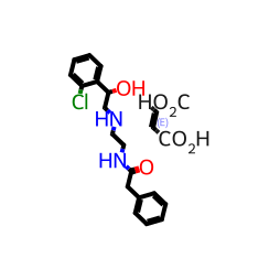 O=C(Cc1ccccc1)NCCNCC(O)c1ccccc1Cl.O=C(O)/C=C/C(=O)O